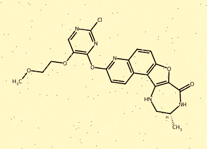 COCCOc1cnc(Cl)nc1Oc1ccc2c(ccc3oc4c(c32)NC[C@@H](C)NC4=O)n1